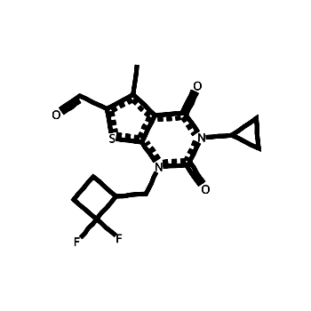 Cc1c(C=O)sc2c1c(=O)n(C1CC1)c(=O)n2CC1CCC1(F)F